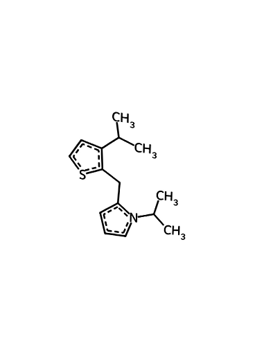 CC(C)c1ccsc1Cc1cccn1C(C)C